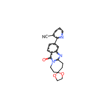 N#Cc1cccnc1-c1ccc2c(=O)n3c(nc2c1)CCC1(CC3)OCCO1